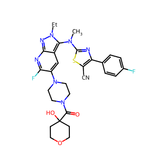 CCn1nc2nc(F)c(N3CCN(C(=O)C4(O)CCOCC4)CC3)cc2c1N(C)c1nc(-c2ccc(F)cc2)c(C#N)s1